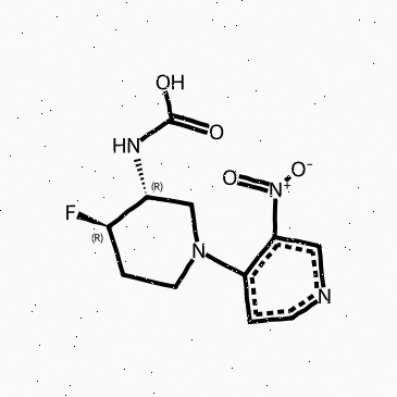 O=C(O)N[C@@H]1CN(c2ccncc2[N+](=O)[O-])CC[C@H]1F